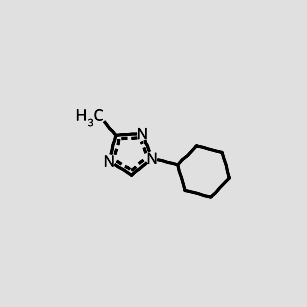 Cc1ncn(C2CCCCC2)n1